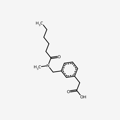 CCCCCC(=O)N(C)Cc1cccc(CC(=O)O)c1